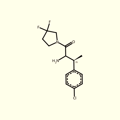 C[C@@H](c1ccc(Cl)cc1)C(N)C(=O)N1CCC(F)(F)C1